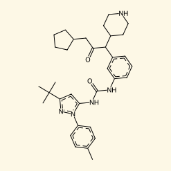 Cc1ccc(-n2nc(C(C)(C)C)cc2NC(=O)Nc2cccc(C(C(=O)CC3CCCC3)C3CCNCC3)c2)cc1